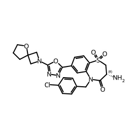 N[C@H]1CS(=O)(=O)c2ccc(-c3nnc(N4CC5(CCCO5)C4)o3)cc2N(Cc2ccc(Cl)cc2)C1=O